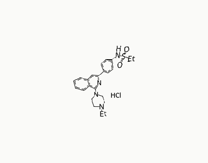 CCN1CCN(c2nc(-c3ccc(NS(=O)(=O)CC)cc3)cc3ccccc23)CC1.Cl